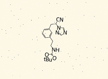 CC(C)(C)OC(=O)NCCc1cccc(CC(C#N)n2cncn2)c1